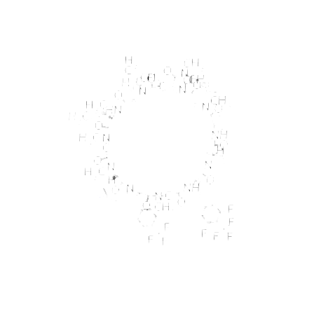 CC[C@H](C)[C@@H]1NC(=O)[C@H](CC(C)C)N(C)C(=O)C[C@@H](C(=O)N(C)C)N(C)C(=O)[C@H](C2CCCC2)N(C)C(=O)C2(CCC2)NC(=O)[C@@H]2CCCN2C(=O)[C@H](CCc2cc(F)c(C(F)(F)F)c(F)c2)NC(=O)CN(C)C(=O)[C@H](Cc2ccc(C(F)(F)F)cc2)N2CC/C=C\C[C@@H](C2=O)N(C)C(=O)CN(C)C1=O